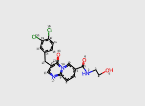 O=C(NCCO)c1ccc2ncc(Cc3ccc(Cl)c(Cl)c3)c(=O)n2c1